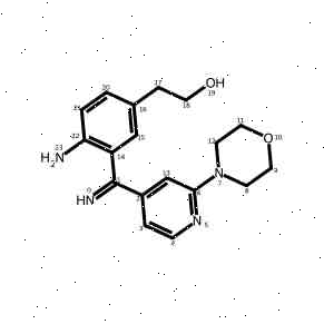 N=C(c1ccnc(N2CCOCC2)c1)c1cc(CCO)ccc1N